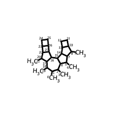 CC1C(C)C2C(C)C3C(C)C4CCC4C3C2C2C(C1C)C(C)C1C3CCC3C12